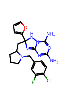 NC1=NC2=NC(CC3CCCN3Cc3ccc(Cl)c(F)c3)(c3ccco3)NN2C(N)=N1